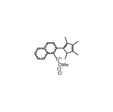 C[O][Ti+2][c]1c(C2=C(C)C(C)=C(C)C2C)ccc2ccccc12.[Cl-].[Cl-]